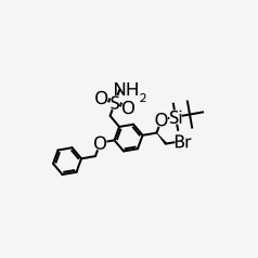 CC(C)(C)[Si](C)(C)O[C@@H](CBr)c1ccc(OCc2ccccc2)c(CS(N)(=O)=O)c1